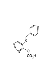 O=C(O)Oc1ncccc1SCc1ccccc1